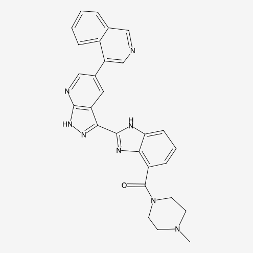 CN1CCN(C(=O)c2cccc3[nH]c(-c4n[nH]c5ncc(-c6cncc7ccccc67)cc45)nc23)CC1